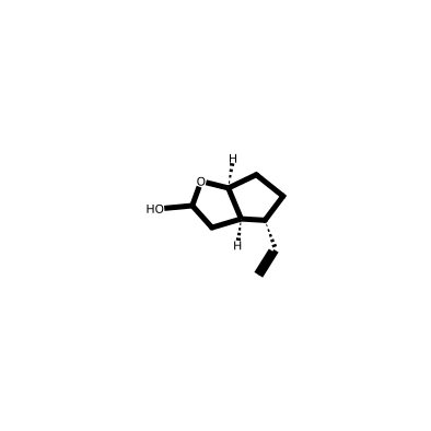 C=C[C@H]1CC[C@@H]2OC(O)C[C@@H]21